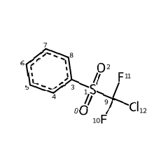 O=S(=O)(c1ccccc1)C(F)(F)Cl